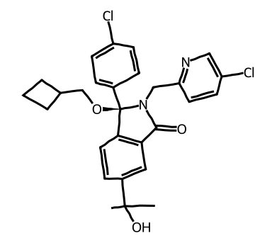 CC(C)(O)c1ccc2c(c1)C(=O)N(Cc1ccc(Cl)cn1)[C@@]2(OCC1CCC1)c1ccc(Cl)cc1